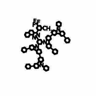 Cc1cc(-c2nc(-c3cc(-n4c5ccc(-c6ccccc6)cc5c5cc(-c6ccc7c(c6)c6cc(-c8ccccc8)ccc6n7-c6ccccc6)ccc54)cc(-n4c5ccc(-c6ccccc6)cc5c5cc(-c6ccc7c(c6)c6cc(-c8ccccc8)ccc6n7-c6ccccc6)ccc54)c3)nc3c2ccc2ccccc23)cc(C(F)(F)F)c1